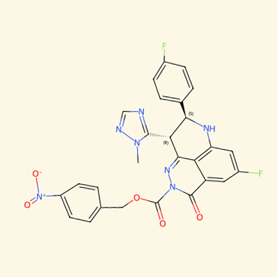 Cn1ncnc1[C@H]1c2nn(C(=O)OCc3ccc([N+](=O)[O-])cc3)c(=O)c3cc(F)cc(c23)N[C@@H]1c1ccc(F)cc1